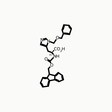 O=C(N[C@@H](Cc1cncn1COCc1ccccc1)C(=O)O)OCC1c2ccccc2-c2ccccc21